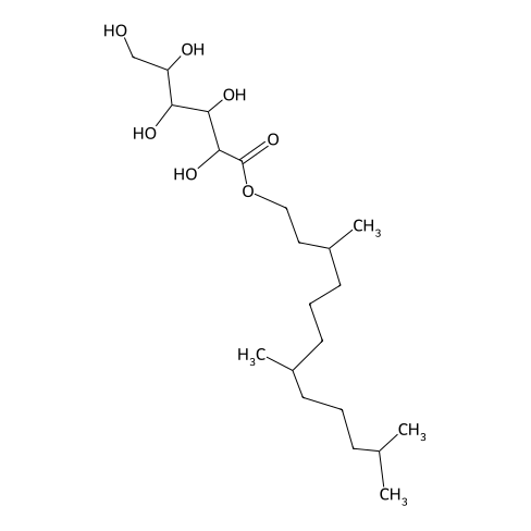 CC(C)CCCC(C)CCCC(C)CCOC(=O)C(O)C(O)C(O)C(O)CO